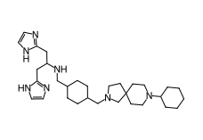 c1c[nH]c(CC(Cc2ncc[nH]2)NCC2CCC(CN3CCC4(CCN(C5CCCCC5)CC4)C3)CC2)n1